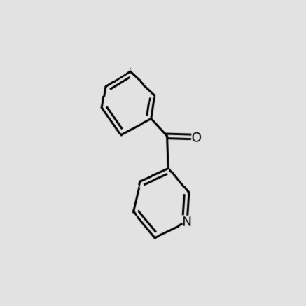 O=C(c1c[c]ccc1)c1cccnc1